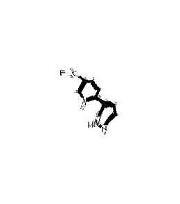 FC(F)(F)c1ccc(-c2ccn[nH]2)nc1